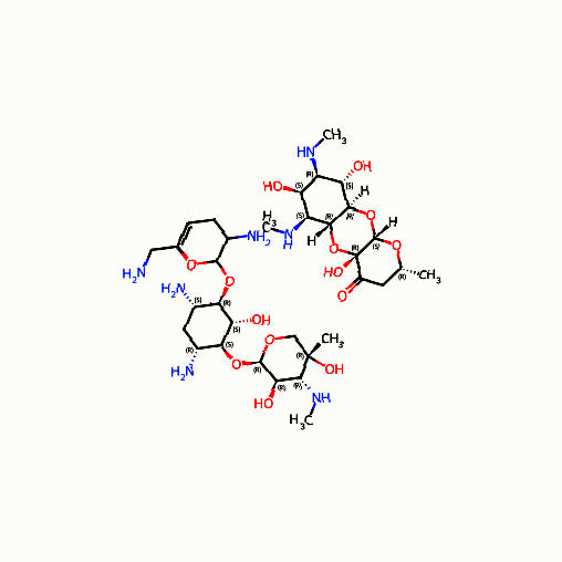 CN[C@@H]1[C@@H](O)[C@@H](O[C@@H]2[C@@H](O)[C@H](OC3OC(CN)=CCC3N)[C@@H](N)C[C@H]2N)OC[C@]1(C)O.CN[C@@H]1[C@H](O)[C@H](NC)[C@H]2O[C@@]3(O)C(=O)C[C@@H](C)O[C@H]3O[C@@H]2[C@H]1O